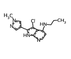 CCCNc1ccnc2[nH]c(-c3cnn(C)c3)c(Cl)c12